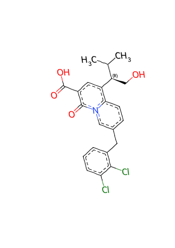 CC(C)[C@@H](CO)c1cc(C(=O)O)c(=O)n2cc(Cc3cccc(Cl)c3Cl)ccc12